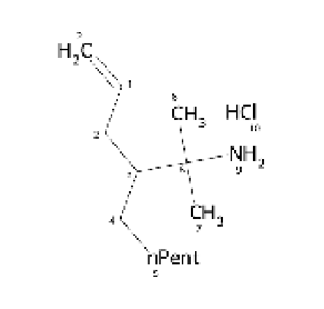 C=CCC(CCCCCC)C(C)(C)N.Cl